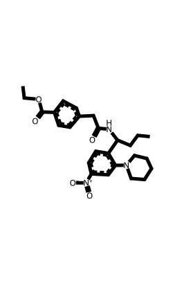 CCCC(NC(=O)Cc1ccc(C(=O)OCC)cc1)c1ccc([N+](=O)[O-])cc1N1CCCCC1